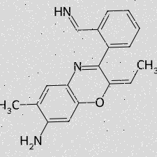 C/C=C1/Oc2cc(N)c(C)cc2N=C1c1ccccc1C=N